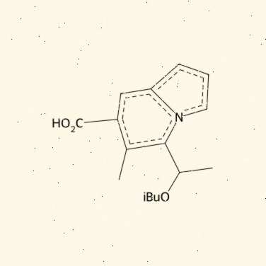 Cc1c(C(=O)O)cc2cccn2c1C(C)OCC(C)C